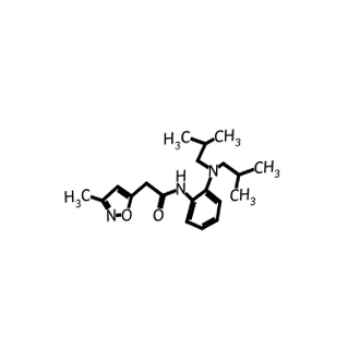 Cc1cc(CC(=O)Nc2ccccc2N(CC(C)C)CC(C)C)on1